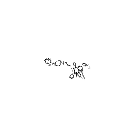 O=c1[nH]c2ccc(C(F)(F)F)cc2c(=O)n1CCCCN1CCN(c2ncccn2)CC1